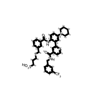 O=C(NCc1cccc(C(F)(F)F)c1)c1ccnc(-c2cc(N3CCCCC3)ccc2NC(=O)c2cccc(CSCCCS(=O)(=O)O)c2)c1